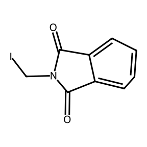 O=C1c2ccccc2C(=O)N1CI